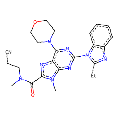 CCc1nc2ccccc2n1-c1nc(N2CCOCC2)c2nc(C(=O)N(C)CCC#N)n(C)c2n1